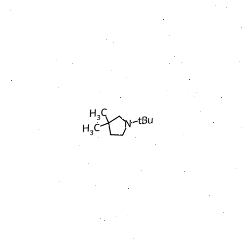 CC1(C)CCN(C(C)(C)C)C1